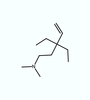 C=CC(CC)(CC)CCN(C)C